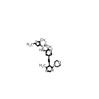 Cc1cc([S+]([O-])Nc2cc(C#Cc3c(C)ncnc3N3CCOCC3)cnc2C)c(C)s1